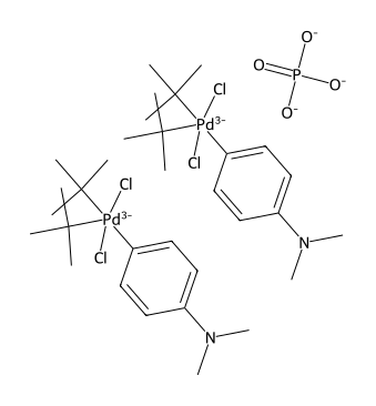 CN(C)c1cc[c]([Pd-3]([Cl])([Cl])([C](C)(C)C)[C](C)(C)C)cc1.CN(C)c1cc[c]([Pd-3]([Cl])([Cl])([C](C)(C)C)[C](C)(C)C)cc1.O=P([O-])([O-])[O-]